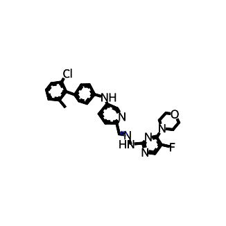 Cc1cccc(Cl)c1-c1ccc(Nc2ccc(/C=N/Nc3ncc(F)c(N4CCOCC4)n3)nc2)cc1